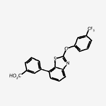 O=C(O)c1cccc(-c2cccc3nc(Oc4cccc(C(F)(F)F)c4)sc23)c1